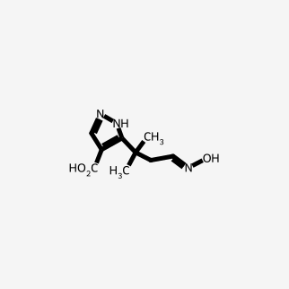 CC(C)(CC=NO)c1[nH]ncc1C(=O)O